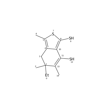 CCC1(C)Cc2c(C)sc(S)c2C(S)=C1C